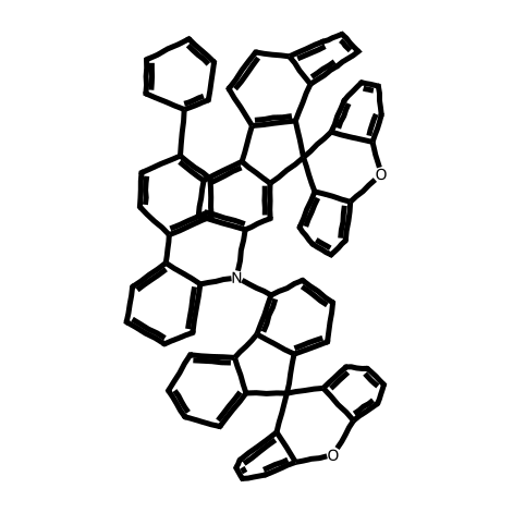 c1ccc(-c2ccc(-c3ccccc3N(c3ccc4c(c3)C3(c5ccccc5Oc5ccccc53)c3c-4ccc4ccccc34)c3cccc4c3-c3ccccc3C43c4ccccc4Oc4ccccc43)cc2)cc1